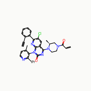 C#Cc1ccccc1-c1nc2c(cc1Cl)c(N1CCN(C(=O)C=C)C[C@@H]1C)nc(=O)n2-c1c(C)ccnc1C(C)C